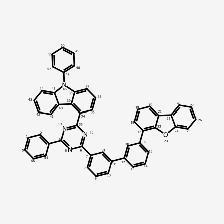 c1ccc(-c2nc(-c3cccc(-c4cccc(-c5cccc6c5oc5ccccc56)c4)c3)nc(-c3cccc4c3c3ccccc3n4-c3ccccc3)n2)cc1